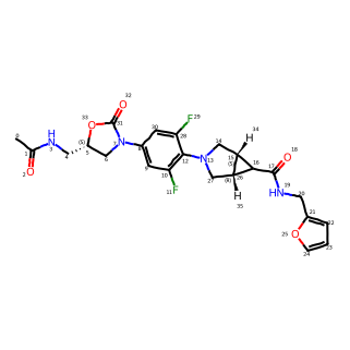 CC(=O)NC[C@H]1CN(c2cc(F)c(N3C[C@@H]4C(C(=O)NCc5ccco5)[C@@H]4C3)c(F)c2)C(=O)O1